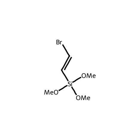 CO[Si](C=CBr)(OC)OC